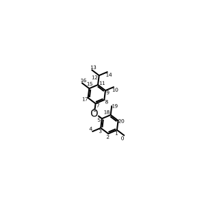 Cc1cc(C)c(Oc2cc(C)c(C(C)C)c(C)c2)c(C)c1